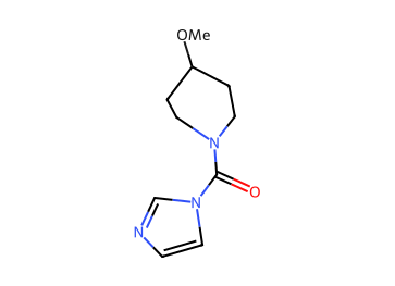 COC1CCN(C(=O)n2ccnc2)CC1